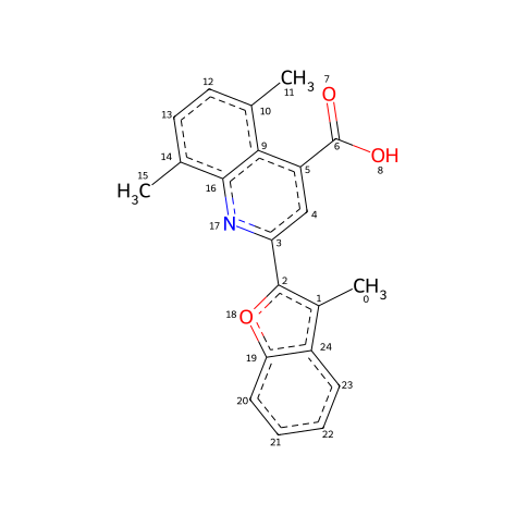 Cc1c(-c2cc(C(=O)O)c3c(C)ccc(C)c3n2)oc2ccccc12